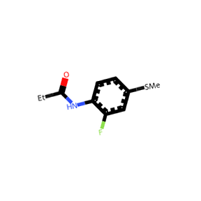 CCC(=O)Nc1ccc(SC)cc1F